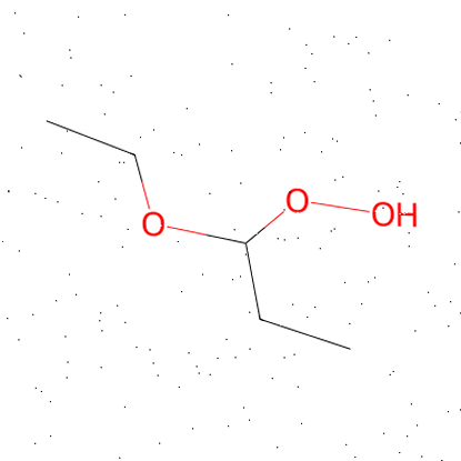 CCOC(CC)OO